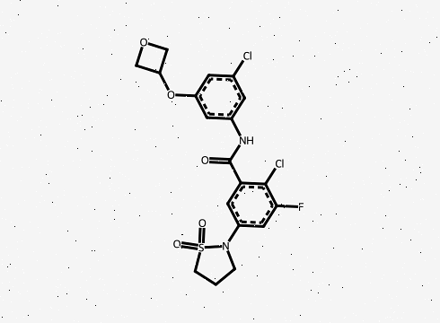 O=C(Nc1cc(Cl)cc(OC2COC2)c1)c1cc(N2CCCS2(=O)=O)cc(F)c1Cl